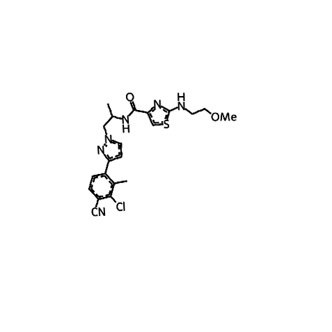 COCCNc1nc(C(=O)NC(C)Cn2ccc(-c3ccc(C#N)c(Cl)c3C)n2)cs1